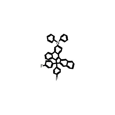 Fc1ccc(C2(c3ccc(F)cc3)c3cc4ccccc4cc3-c3c2c2ccccc2c2cc(N(c4ccccc4)c4ccccc4)ccc32)cc1